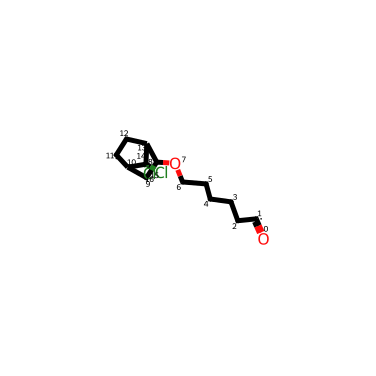 O=[C]CCCCCOC1CC2[CH]CC1C2(Cl)Cl